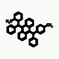 CC1C=CC(N(c2ccccc2)c2c3ccccc3c(N(c3ccccc3)C3C=CC=CC3C)c3ccccc23)=CC1